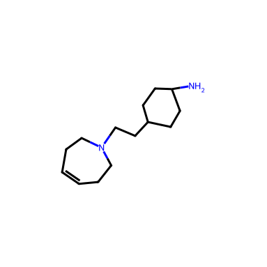 NC1CCC(CCN2CCC=CCC2)CC1